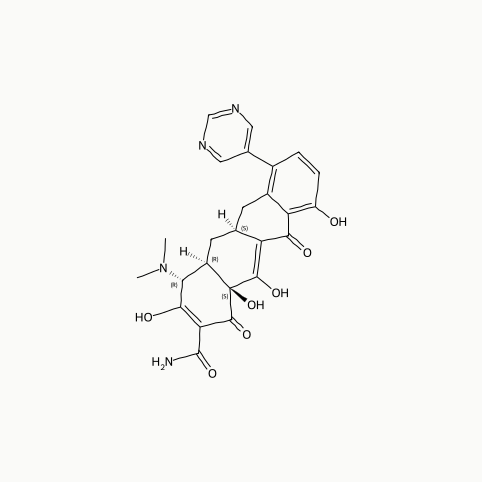 CN(C)[C@H]1C(O)=C(C(N)=O)C(=O)[C@@]2(O)C(O)=C3C(=O)c4c(O)ccc(-c5cncnc5)c4C[C@@H]3C[C@H]12